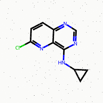 Clc1ccc2ncnc(NC3CC3)c2n1